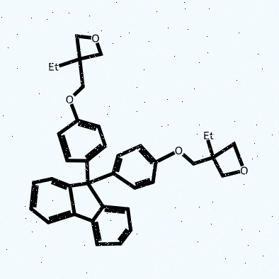 CCC1(COc2ccc(C3(c4ccc(OCC5(CC)COC5)cc4)c4ccccc4-c4ccccc43)cc2)COC1